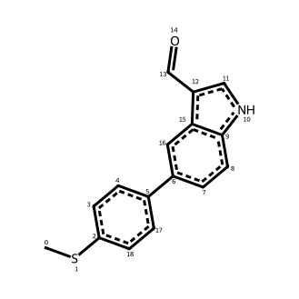 CSc1ccc(-c2ccc3[nH]cc(C=O)c3c2)cc1